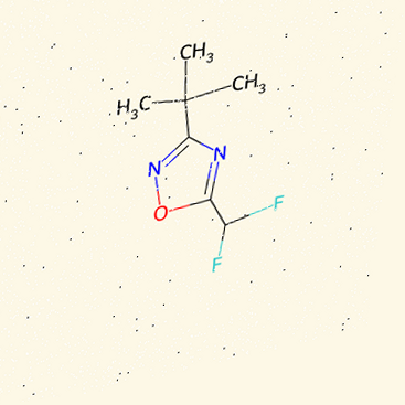 CC(C)(C)c1noc(C(F)F)n1